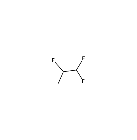 CC(F)C(F)F